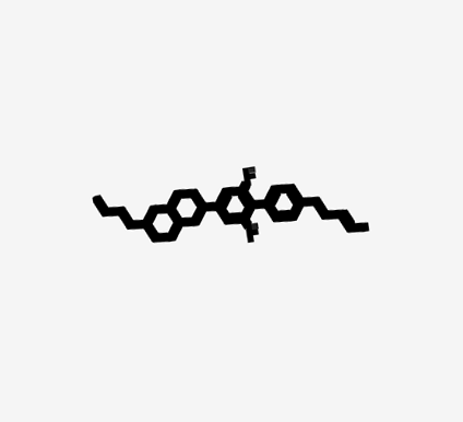 C/C=C/CCc1ccc(-c2c(F)cc(C3CCC4CC(CCCC)CCC4C3)cc2F)cc1